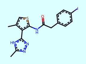 Cc1nnc(-c2c(C)csc2NC(=O)Cc2ccc(I)cc2)[nH]1